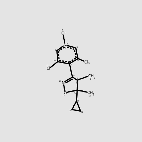 CC1C(c2c(Cl)c[n+]([O-])cc2Cl)=NOC1(C)C1CC1